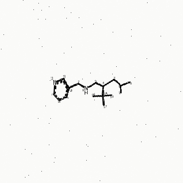 CC(C)CC(CNCc1cccnc1)C(C)(C)C